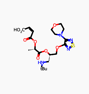 C[C@H](OC(=O)/C=C\C(=O)O)C(=O)O[C@@H](CNC(C)(C)C)COc1nsnc1N1CCOCC1